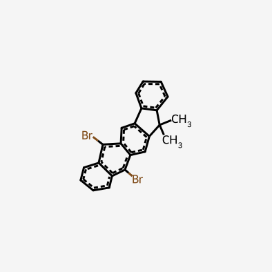 CC1(C)c2ccccc2-c2cc3c(Br)c4ccccc4c(Br)c3cc21